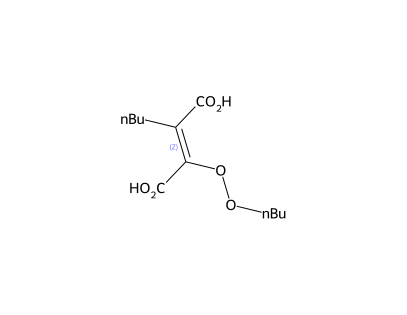 CCCCOO/C(C(=O)O)=C(/CCCC)C(=O)O